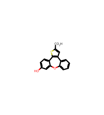 O=C(O)c1cc2c(s1)-c1ccc(O)cc1Oc1ccccc1-2